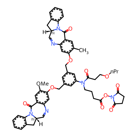 CCCOCCC(=O)N(CCCC(=O)ON1C(=O)CCC1=O)c1cc(COc2cc3c(cc2C)C(=O)N2c4ccccc4C[C@H]2C=N3)cc(COc2cc3c(cc2OC)C(=O)N2c4ccccc4C[C@H]2C=N3)c1